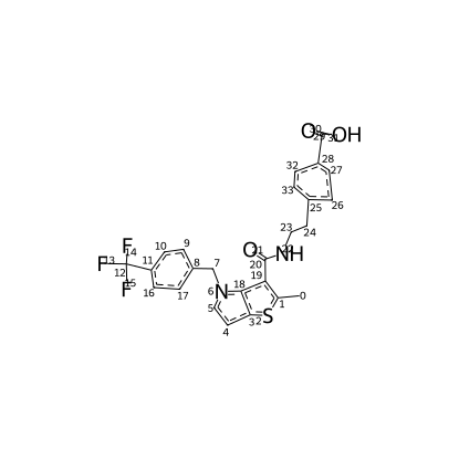 Cc1sc2ccn(Cc3ccc(C(F)(F)F)cc3)c2c1C(=O)NCCc1ccc(C(=O)O)cc1